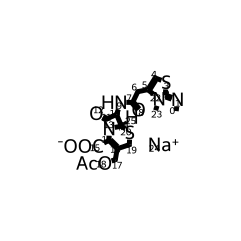 CN=c1scc(CC(=O)NC2C(=O)N3C(C(=O)[O-])=C(COC(C)=O)CS[C@@H]23)n1C.[Na+]